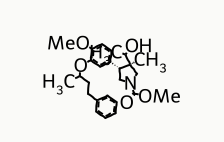 COC(=O)N1C[C@H](c2ccc(OC)c(OC(C)CCc3ccccc3)c2)[C@@](C)(C(C)O)C1